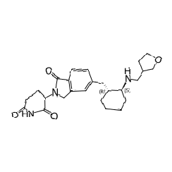 O=C1CCC(N2Cc3cc(C[C@H]4CCCC[C@@H]4NCC4CCOC4)ccc3C2=O)C(=O)N1